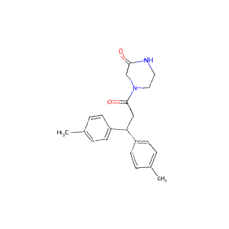 Cc1ccc(C(CC(=O)N2CCNC(=O)C2)c2ccc(C)cc2)cc1